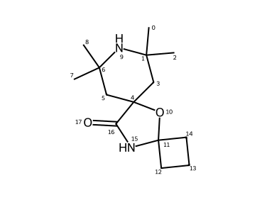 CC1(C)CC2(CC(C)(C)N1)OC1(CCC1)NC2=O